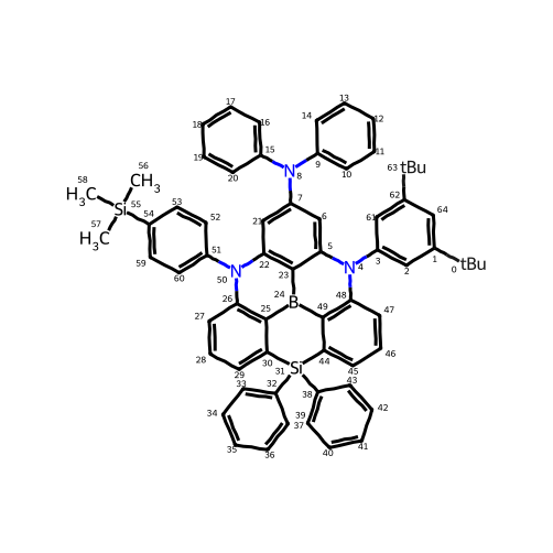 CC(C)(C)c1cc(N2c3cc(N(c4ccccc4)c4ccccc4)cc4c3B3c5c(cccc5[Si](c5ccccc5)(c5ccccc5)c5cccc2c53)N4c2ccc([Si](C)(C)C)cc2)cc(C(C)(C)C)c1